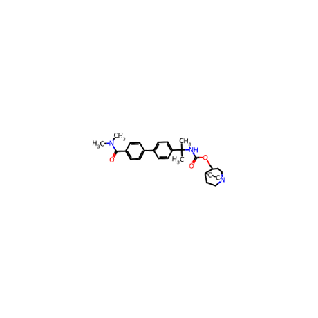 CN(C)C(=O)c1ccc(-c2ccc(C(C)(C)NC(=O)OC3CCN4CCC3CC4)cc2)cc1